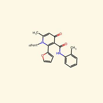 CCCCCn1c(C)cc(=O)c(C(=O)Nc2ccccc2C)c1-c1ccco1